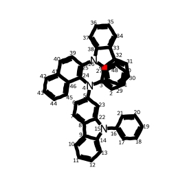 c1ccc(N(c2ccc3c4ccccc4n(-c4ccccc4)c3c2)c2c(-n3c4ccccc4c4ccccc43)ccc3ccccc23)cc1